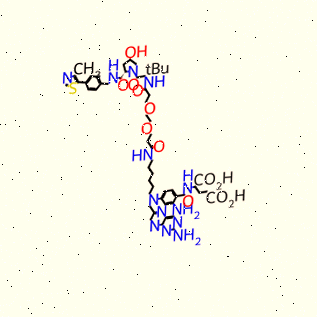 Cc1ncsc1-c1ccc(CNC(=O)[C@@H]2C[C@@H](O)CN2C(=O)C(NC(=O)CCOCCOCCC(=O)NCCCCCCN(Cc2cnc3nc(N)nc(N)c3n2)c2ccc(C(=O)N[C@@H](CCC(=O)O)C(=O)O)cc2)C(C)(C)C)cc1